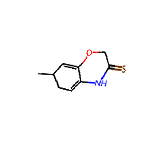 CC1C=C2OCC(=S)NC2=CC1